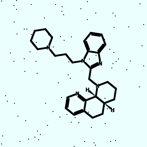 c1cnc2c(c1)CC[C@@H]1CCCN(Cc3nc4ccccc4n3CCCN3CCCCC3)[C@H]21